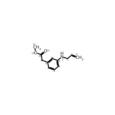 C=CCNc1cccc(CC(=O)OC)c1